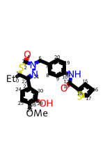 CCC1SC(=O)N(Cc2ccc(NC(=O)c3cccs3)cc2)N=C1c1ccc(OC)c(O)c1